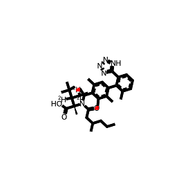 [2H]C([2H])(C)C([2H])(C(C)(C)C)[C@@](C)(C(=O)O)N(C(=O)CC(C)CCC)C(C)c1c(C)cc(-c2c(C)cccc2-c2nnn[nH]2)c(C)c1C